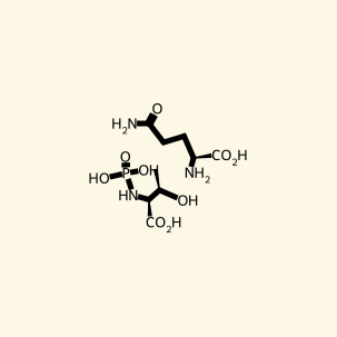 C[C@@H](O)[C@H](NP(=O)(O)O)C(=O)O.NC(=O)CC[C@H](N)C(=O)O